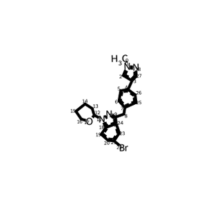 Cn1cc(-c2ccc(Cc3nn(C4CCCCO4)c4ccc(Br)cc34)cc2)cn1